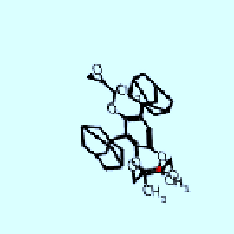 CC(Oc1cc(C23CC4CC(CC(C4)C2)C3)c(OC(C)C2CO2)c(C23CC4CC(CC(C4)C2)C3)c1OC(C)C1CO1)C1CO1